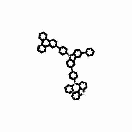 c1ccc(-c2ccc3c(c2)c2cc(-c4ccc(N(c5ccccc5)c5cccc6oc7ccccc7c56)cc4)ccc2n3-c2ccc(-c3ccc4c5ccccc5c5ccccc5c4c3)cc2)cc1